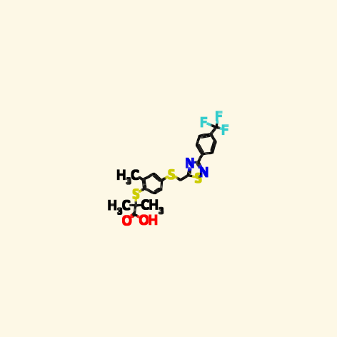 Cc1cc(SCc2nc(-c3ccc(C(F)(F)F)cc3)ns2)ccc1SC(C)(C)C(=O)O